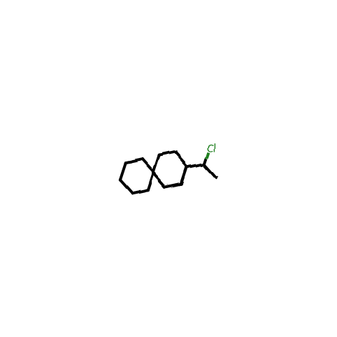 CC(Cl)C1CCC2(CCCCC2)CC1